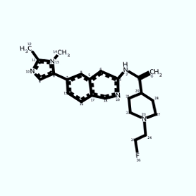 C=C(Nc1cc2cc(-c3cnc(C)n3C)ccc2cn1)C1CCN(CCF)CC1